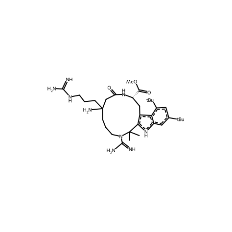 COC(=O)[C@@H]1Cc2c([nH]c3cc(C(C)(C)C)cc(C(C)(C)C)c23)C(C)(C)N(C(=N)N)CCCC(N)(CCCNC(=N)N)CC(=O)N1